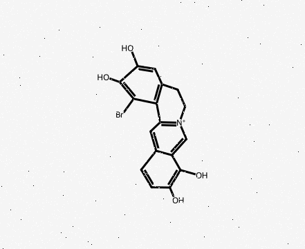 Oc1cc2c(c(Br)c1O)-c1cc3ccc(O)c(O)c3c[n+]1CC2